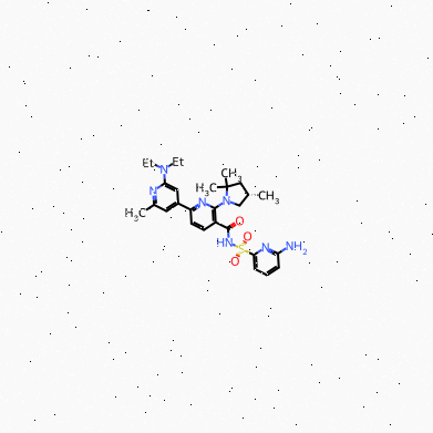 CCN(CC)c1cc(-c2ccc(C(=O)NS(=O)(=O)c3cccc(N)n3)c(N3C[C@@H](C)CC3(C)C)n2)cc(C)n1